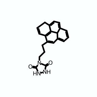 O=c1[nH][nH]c(=O)n1CCCC1=CC2=CC=CC3=CC=C4CC=CC1=C4C32